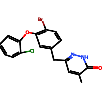 Cc1cc(Cc2ccc(Br)c(Oc3ccccc3Cl)c2)n[nH]c1=O